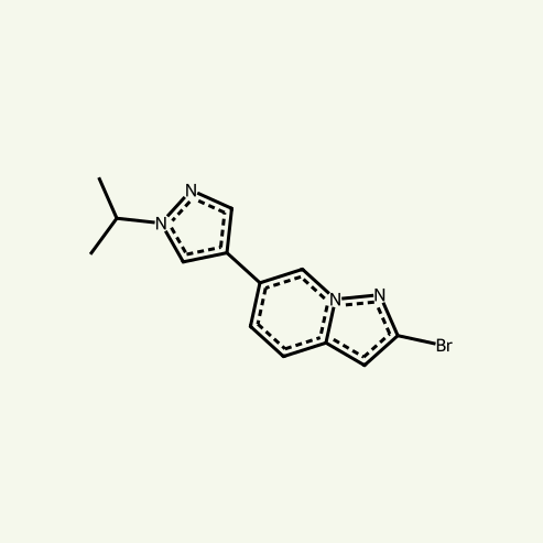 CC(C)n1cc(-c2ccc3cc(Br)nn3c2)cn1